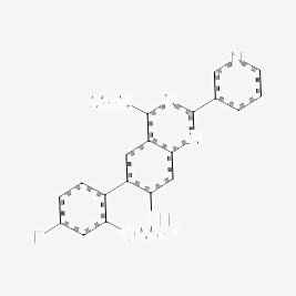 CNc1nc(-c2cccnc2)nc2cc(C)c(-c3ccc(F)cc3OC)cc12